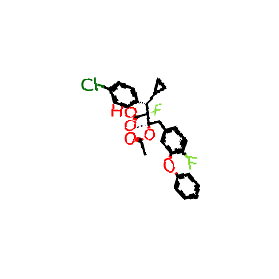 CC(=O)O[C@](C)(Cc1ccc(F)c(Oc2ccccc2)c1)[C@@](F)(C(=O)O)[C@H](c1ccc(Cl)cc1)C1CC1